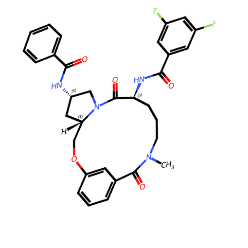 CN1CCC[C@H](NC(=O)c2cc(F)cc(F)c2)C(=O)N2C[C@@H](NC(=O)c3ccccc3)C[C@H]2COc2cccc(c2)C1=O